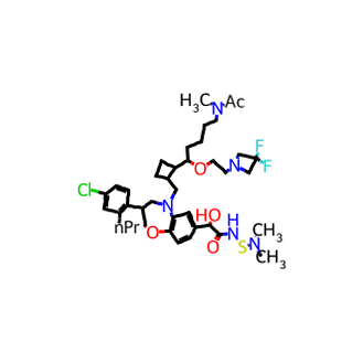 CCCc1cc(Cl)ccc1C1COc2ccc(C(O)C(=O)NSN(C)C)cc2N(CC2CCC2C(CCCCN(C)C(C)=O)OCCN2CC(F)(F)C2)C1